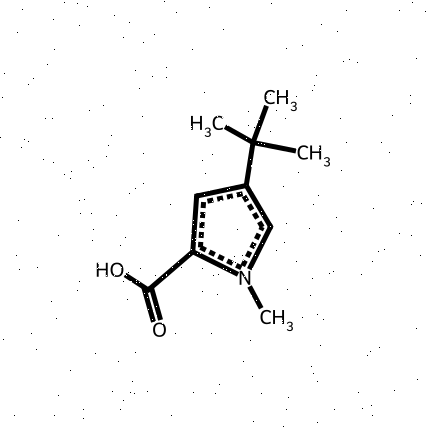 Cn1cc(C(C)(C)C)cc1C(=O)O